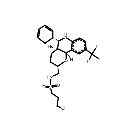 O=S(=O)(CCCCl)NC[C@H]1CC[C@@H]2[C@H](O1)c1cc(C(F)(F)F)ccc1N[C@H]2C1C=CC=CC1